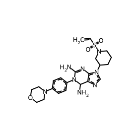 C=CS(=O)(=O)N1CCCC(n2cnc3c2N=C(N)N(c2ccc(N4CCOCC4)cc2)C3N)C1